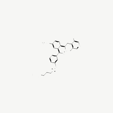 COc1ccc2c(Cc3c(Cl)cncc3Cl)nnc(-c3cccc(NS(=O)(=O)CCCC(=O)O)c3)c2c1